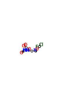 COC(=O)c1ccc(NC(=O)Cc2ccc(-c3cccc(OCc4ccc(Cl)cc4F)n3)cc2)c(NC[C@@H]2CCOC2)c1